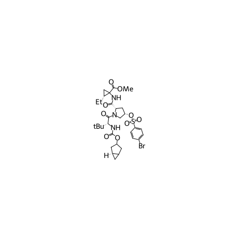 CC[C@@H]1CC1(NC(=O)[C@@H]1C[C@H](OS(=O)(=O)c2ccc(Br)cc2)CN1C(=O)[C@H](NC(=O)OC1CC2C[C@H]2C1)C(C)(C)C)C(=O)OC